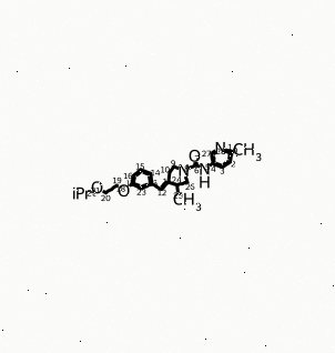 Cc1ccc(NC(=O)N2CCC(=Cc3cccc(OCCOC(C)C)c3)C(C)C2)cn1